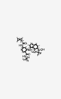 [2H]C([2H])([2H])NC(=O)c1nnc(NC(=O)[C@@H]2CC23CC3)cc1Nc1cnn2ccc([C@H](O)C(F)(F)F)c(OC)c12